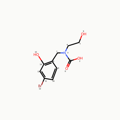 O=C(O)N(CCO)Cc1ccc(Br)cc1O